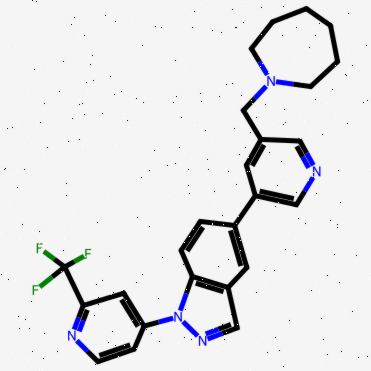 FC(F)(F)c1cc(-n2ncc3cc(-c4cncc(CN5CCCCCC5)c4)ccc32)ccn1